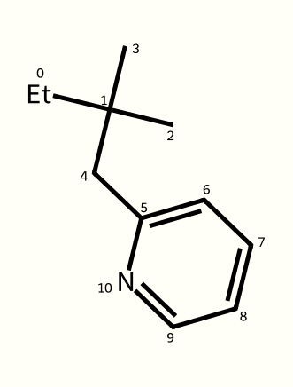 CCC(C)(C)Cc1ccccn1